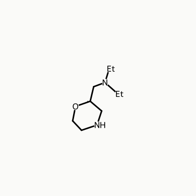 CCN(CC)C[C]1CNCCO1